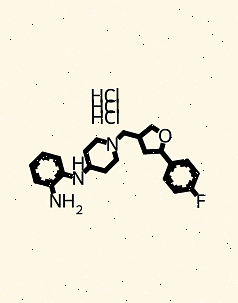 Cl.Cl.Cl.Nc1ccccc1NC1CCN(CC2COC(c3ccc(F)cc3)C2)CC1